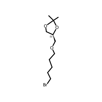 CC1(C)OC[C@H](COCCCCCBr)O1